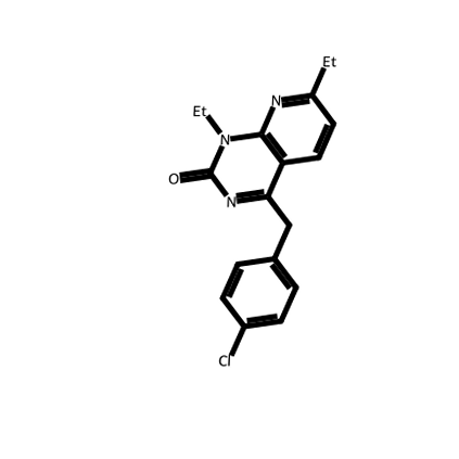 CCc1ccc2c(Cc3ccc(Cl)cc3)nc(=O)n(CC)c2n1